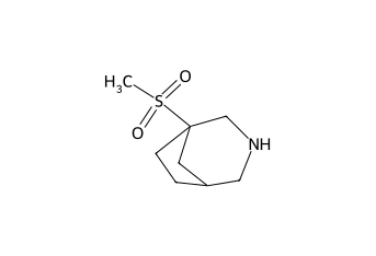 CS(=O)(=O)C12CCC(CNC1)C2